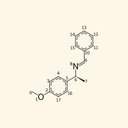 COc1ccc([C@H](C)N=Cc2ccccc2)cc1